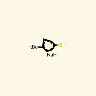 CC(C)(C)c1ccc(S)cc1.[NaH]